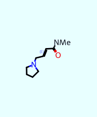 CNC(=O)/C=C/CN1CCCC1